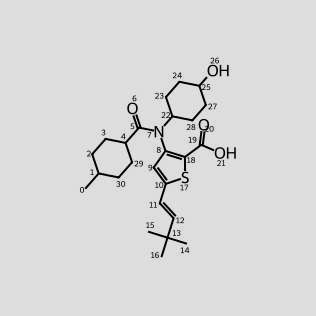 CC1CCC(C(=O)N(c2cc(/C=C/C(C)(C)C)sc2C(=O)O)C2CCC(O)CC2)CC1